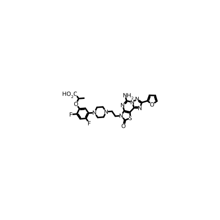 CC(Oc1cc(N2CCN(CCn3c(=O)sc4c3nc(N)n3nc(-c5ccco5)nc43)CC2)c(F)cc1F)C(=O)O